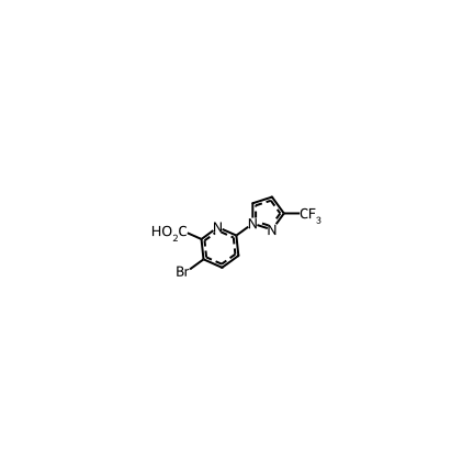 O=C(O)c1nc(-n2ccc(C(F)(F)F)n2)ccc1Br